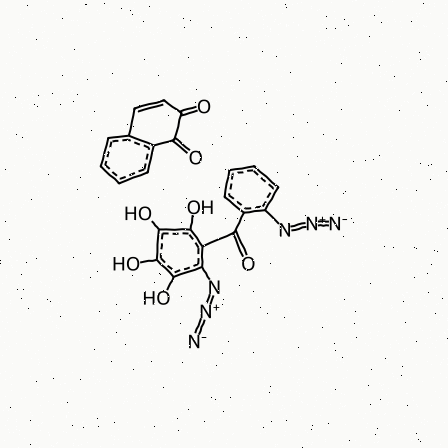 O=C1C=Cc2ccccc2C1=O.[N-]=[N+]=Nc1ccccc1C(=O)c1c(O)c(O)c(O)c(O)c1N=[N+]=[N-]